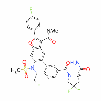 CNC(=O)c1c(-c2ccc(F)cc2)oc2cc(N(CCF)S(C)(=O)=O)c(-c3cccc(C(=O)N4CC(F)(F)C[C@H]4C(N)=O)c3)cc12